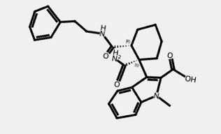 Cn1c(C(=O)O)c([C@]2(C(N)=O)CCCC[C@H]2C(=O)NCCc2ccccc2)c2ccccc21